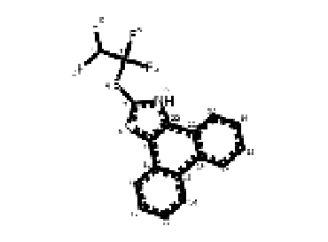 FC(F)C(F)(F)Sc1nc2c3ccccc3c3ccccc3c2[nH]1